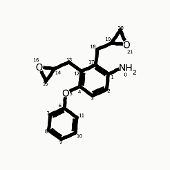 Nc1ccc(Oc2ccccc2)c(CC2CO2)c1CC1CO1